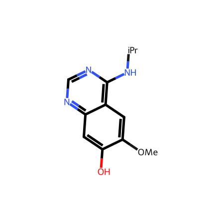 COc1cc2c(NC(C)C)ncnc2cc1O